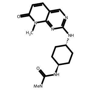 CNC(=O)N[C@H]1CC[C@H](Nc2ncc3ccc(=O)n(C)c3n2)CC1